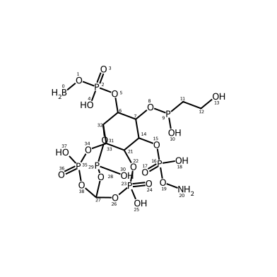 BOP(=O)(O)OC1C(OP(O)CCO)C(OP(=O)(O)ON)C2OP(=O)(O)OC3OP(O)OC1C2OP(=O)(O)O3